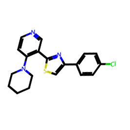 Clc1ccc(-c2csc(-c3cnccc3N3CCCCC3)n2)cc1